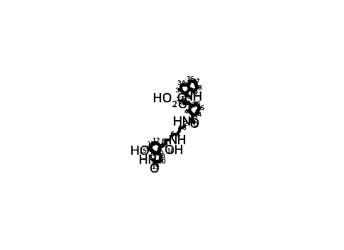 O=C(NCCCCNCC(O)c1ccc(O)c2[nH]c(=O)ccc12)c1cccc(C(=O)NC2(C(=O)O)CCc3ccccc32)c1